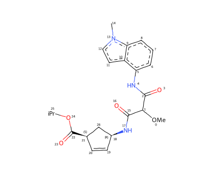 COC(C(=O)Nc1cccc2c1ccn2C)C(=O)N[C@H]1C=C[C@@H](C(=O)OC(C)C)C1